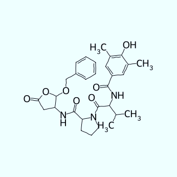 Cc1cc(C(=O)NC(C(=O)N2CCCC2C(=O)NC2CC(=O)OC2OCc2ccccc2)C(C)C)cc(C)c1O